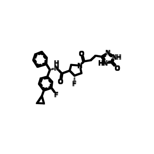 O=C(N[C@@H](c1ccccc1)c1ccc(C2CC2)c(F)c1)C1CN(C(=O)CCc2n[nH]c(=O)[nH]2)C[C@@H]1F